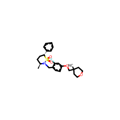 C[C@H]1CC[C@H](c2ccccc2)S(=O)(=O)N1Cc1ccc(OCC2(C#N)CCOCC2)cc1F